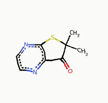 CC1(C)Sc2nccnc2C1=O